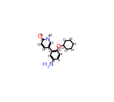 Cn1cc(-c2cc(N)ccc2OC2CCCCC2)ccc1=O